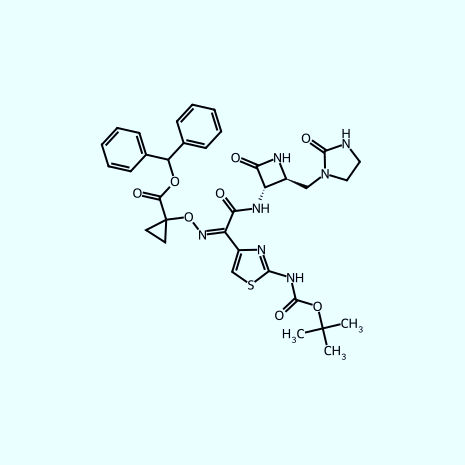 CC(C)(C)OC(=O)Nc1nc(C(=NOC2(C(=O)OC(c3ccccc3)c3ccccc3)CC2)C(=O)N[C@@H]2C(=O)N[C@H]2CN2CCNC2=O)cs1